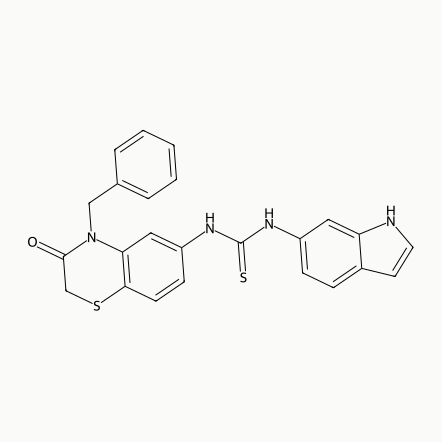 O=C1CSc2ccc(NC(=S)Nc3ccc4cc[nH]c4c3)cc2N1Cc1ccccc1